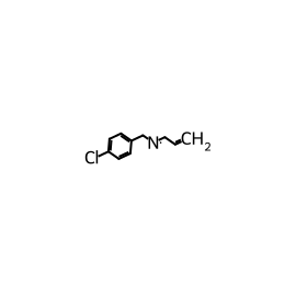 C=CC[N]Cc1ccc(Cl)cc1